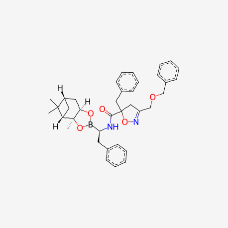 CC1(C)[C@@H]2C[C@H]3OB([C@H](Cc4ccccc4)NC(=O)C4(Cc5ccccc5)CC(COCc5ccccc5)=NO4)O[C@@]3(C)[C@H]1C2